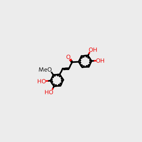 COc1c(/C=C/C(=O)c2ccc(O)c(O)c2)ccc(O)c1O